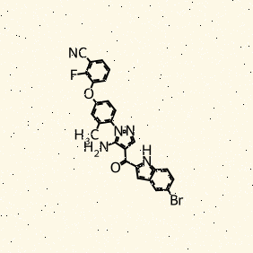 Cc1cc(Oc2cccc(C#N)c2F)ccc1-n1ncc(C(=O)c2cc3cc(Br)ccc3[nH]2)c1N